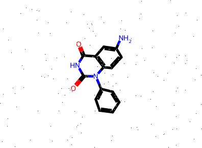 Nc1ccc2c(c1)c(=O)[nH]c(=O)n2-c1ccccc1